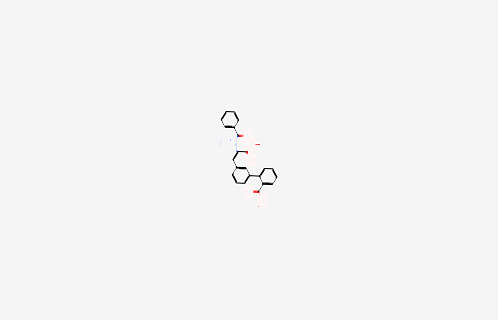 COC(=O)C(=Cc1cccc(-c2ccccc2C(=O)OC)c1)NC(=O)c1ccccc1